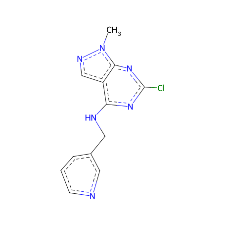 Cn1ncc2c(NCc3cccnc3)nc(Cl)nc21